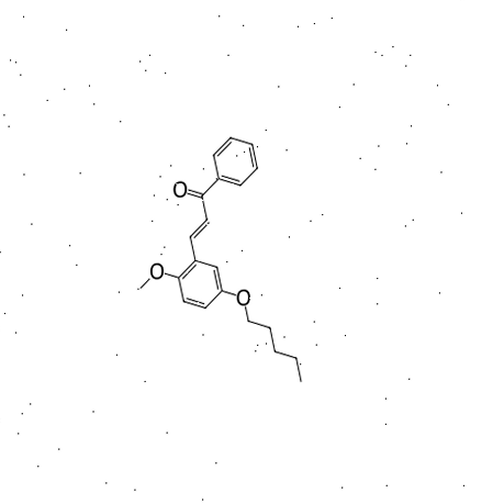 CCCCCOc1ccc(OC)c(C=CC(=O)c2ccccc2)c1